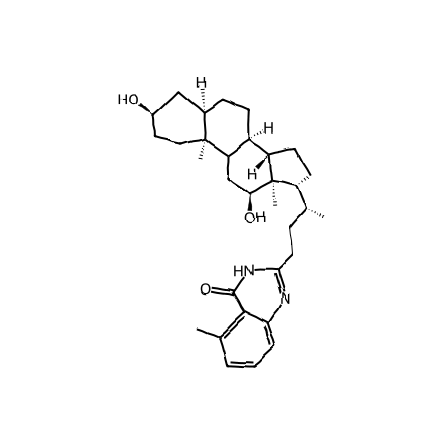 Cc1cccc2nc(CC[C@@H](C)[C@H]3CC[C@H]4[C@@H]5CC[C@@H]6C[C@H](O)CC[C@]6(C)C5C[C@H](O)[C@]34C)[nH]c(=O)c12